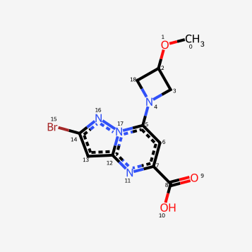 COC1CN(c2cc(C(=O)O)nc3cc(Br)nn23)C1